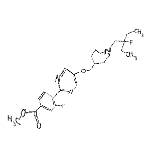 CCC(F)(CC)CN1CCC(COc2cnc(-c3ccc(C(=O)OC)cc3F)nc2)CC1